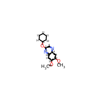 COc1cc2ncc(OC3CCCCC3)nc2cc1OC